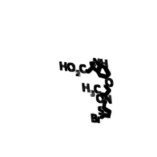 Cc1oc(-c2ccc(Br)s2)nc1CCOc1ccc2[nH]cc(CC(=O)O)c2c1